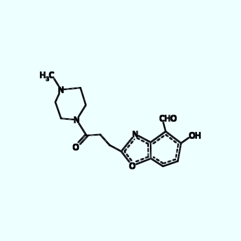 CN1CCN(C(=O)CCc2nc3c(C=O)c(O)ccc3o2)CC1